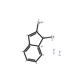 CCC1[C]([Zr+2])=Cc2ccccc21.[I-].[I-]